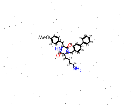 COc1ccc(CC2NC(=O)C(CCCCN)N(Cc3ccc(-c4ccccc4)cc3)C2=O)cc1